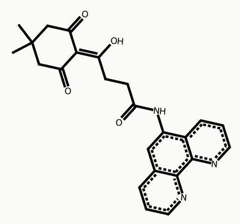 CC1(C)CC(=O)C(=C(O)CCC(=O)Nc2cc3cccnc3c3ncccc23)C(=O)C1